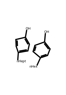 CCCCCCCc1ccc(O)cc1.CCCCCCc1ccc(O)cc1